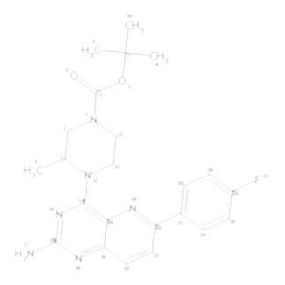 CC1CN(C(=O)OC(C)(C)C)CCN1c1nc(N)nc2ccc(-c3ccc(F)cc3)nc12